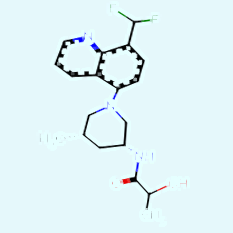 CC(O)C(=O)N[C@@H]1C[C@H](C)CN(c2ccc(C(F)F)c3ncccc23)C1